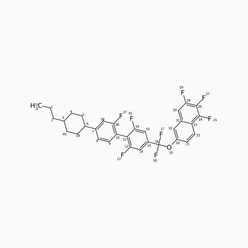 CCCC1CCC(c2ccc(-c3c(F)cc(C(F)(F)Oc4ccc5c(F)c(F)c(F)cc5c4)cc3F)c(F)c2)CC1